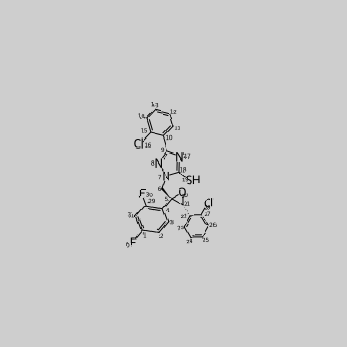 Fc1ccc([C@]2(Cn3nc(-c4ccccc4Cl)nc3S)O[C@@H]2c2ccccc2Cl)c(F)c1